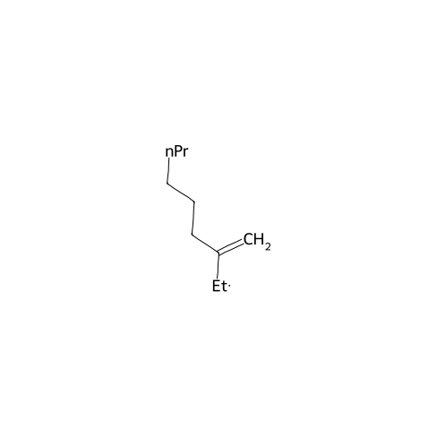 C=C([CH]C)CCCCCC